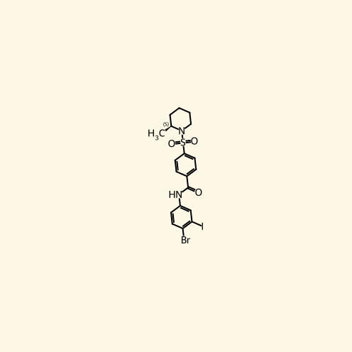 C[C@H]1CCCCN1S(=O)(=O)c1ccc(C(=O)Nc2ccc(Br)c(I)c2)cc1